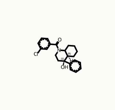 O=C(c1cccc(Cl)c1)N1CC[C@@](O)(c2ccccc2)[C@@H]2CCCCC21